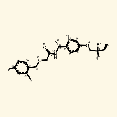 C=CC(F)(F)COc1ccc([C@@H](C)NC(=O)COCc2ccc(C)cc2C)nc1